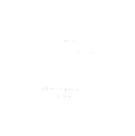 C=C(CC(=O)O)C(=O)OCCCCCC[Si](CCCCCC)(CCCCCC)CCCCCC